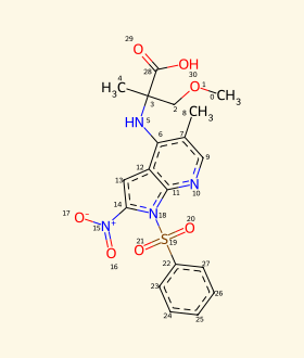 COCC(C)(Nc1c(C)cnc2c1cc([N+](=O)[O-])n2S(=O)(=O)c1ccccc1)C(=O)O